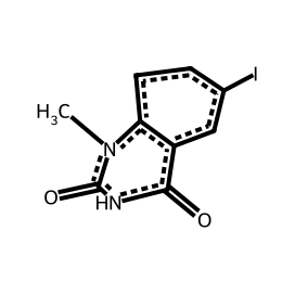 Cn1c(=O)[nH]c(=O)c2cc(I)ccc21